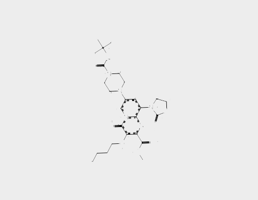 CCCCOc1c(C(=O)OC)nc2c(N3CCOC3=O)cc(N3CCN(C(=O)OC(C)(C)C)CC3)cn2c1=O